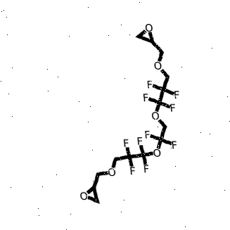 FC(F)(COC(F)(F)C(F)(F)COCC1CO1)OC(F)(F)C(F)(F)COCC1CO1